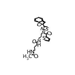 CC(=O)NCCCC(=O)NCCCN(C(=O)c1cccs1)c1nc(-c2cc3ccccc3o2)cs1